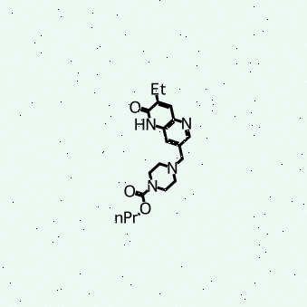 CCCOC(=O)N1CCN(Cc2cnc3cc(CC)c(=O)[nH]c3c2)CC1